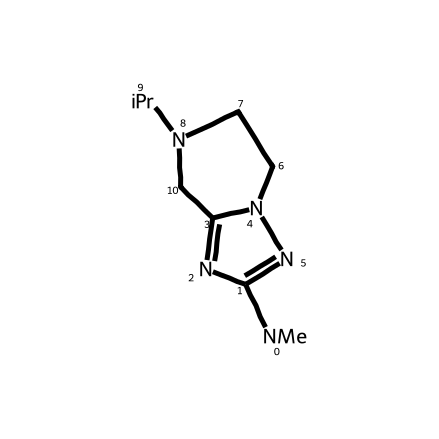 CNc1nc2n(n1)CCN(C(C)C)C2